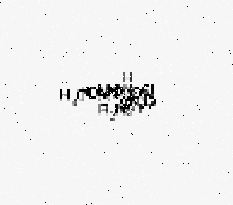 CN1CCC(NC(=O)c2ccc(Nc3oc(-c4c(F)cccc4Cl)nc3OC(N)=O)cc2)CC1